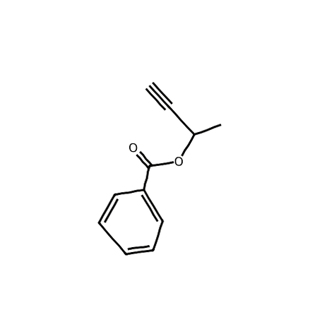 C#CC(C)OC(=O)c1ccccc1